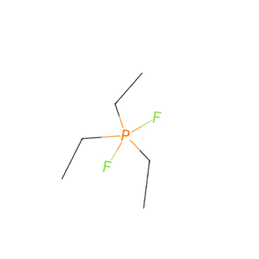 CCP(F)(F)(CC)CC